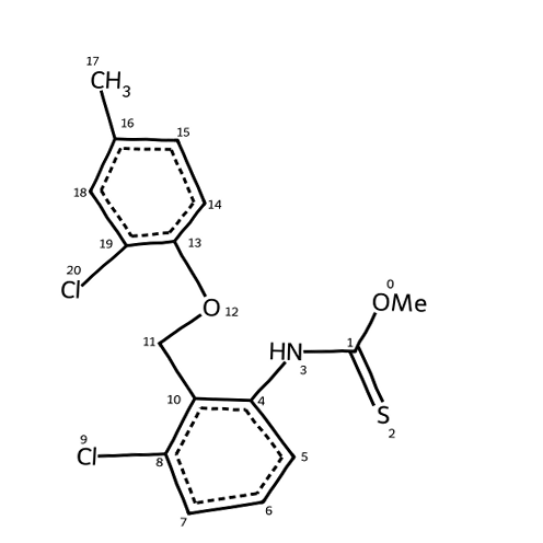 COC(=S)Nc1cccc(Cl)c1COc1ccc(C)cc1Cl